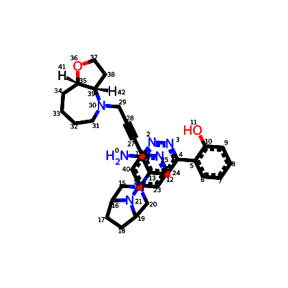 Nc1nnc(-c2ccccc2O)cc1N1CC2CCC(C1)N2c1ccnc(C#CCN2CCCC[C@@H]3OCC[C@@H]32)c1